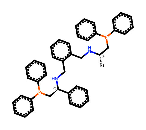 CC[C@@H](CP(c1ccccc1)c1ccccc1)NCc1ccccc1CN[C@H](CP(c1ccccc1)c1ccccc1)c1ccccc1